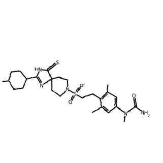 Cc1cc(N(C)C(N)=O)cc(C)c1CCS(=O)(=O)N1CCC2(CC1)N=C(C1CCC(C)CC1)NC2=S